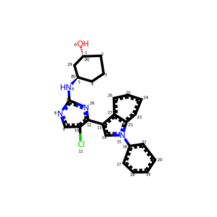 O[C@@H]1CCC[C@@H](Nc2ncc(Cl)c(-c3cn(-c4ccccc4)c4ccccc34)n2)C1